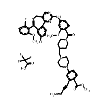 COC(=O)c1ccc(N2CCN(CC3CCN(C(=O)c4ccc(Nc5ncc6c(n5)-c5ccc(Cl)cc5C(c5c(F)cccc5OC)=NC6)cc4OC)CC3)CC2)cc1C#CCN.O=C(O)C(F)(F)F